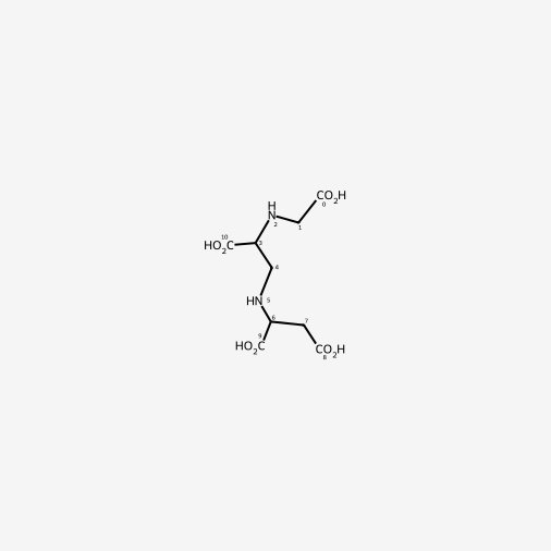 O=C(O)CNC(CNC(CC(=O)O)C(=O)O)C(=O)O